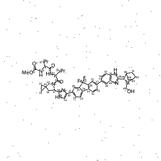 COC(=O)NC(C(=O)NC(C(=O)N1CC2(CC2)CC1c1nc(-c2ccc3c(c2)C(F)(F)c2cc(-c4ccc5[nH]c(C6C7CCC(C7)N6CO)nc5c4)ccc2-3)c[nH]1)C(C)C)C(C)C